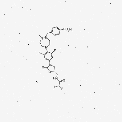 CN1CCN(c2c(F)cc(N3C[C@H](CNC(=O)C(F)F)OC3=O)cc2F)CCN1Cc1ccc(C(=O)O)cc1